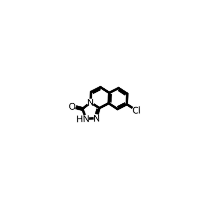 O=c1[nH]nc2c3cc(Cl)ccc3ccn12